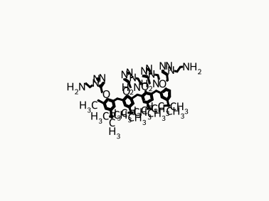 CCc1cc(C(C)(C)C)cc(Cc2cc(C(C)(C)C)cc(Cc3cc(C(C)(C)C)cc(Cc4cc(C(C)(C)C)ccc4OCc4cnnn4CCN)c3OCc3cnnn3CCN)c2OCc2cnnn2CCN)c1OCc1cnnn1CCN